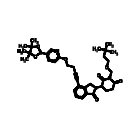 CC1(C)OB(c2ccc(OCCC#Cc3cccc4c3CN(C3CCC(=O)N(COCC[Si](C)(C)C)C3=O)C4=O)nc2)OC1(C)C